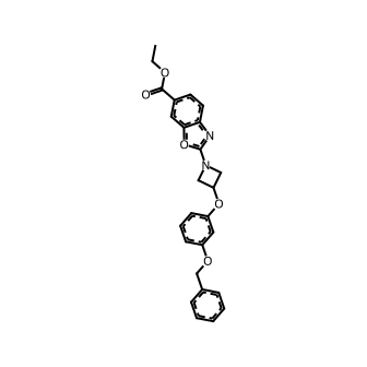 CCOC(=O)c1ccc2nc(N3CC(Oc4cccc(OCc5ccccc5)c4)C3)oc2c1